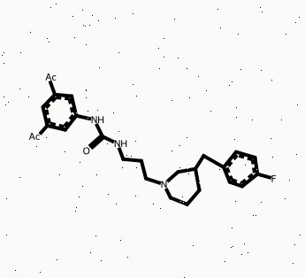 CC(=O)c1cc(NC(=O)NCCCN2CCCC(Cc3ccc(F)cc3)C2)cc(C(C)=O)c1